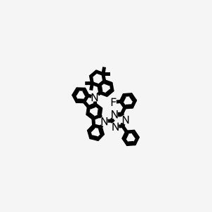 CC1(C)CCC(C)(C)c2c(-n3c4ccccc4c4cc5c6ccccc6n(-c6nc(-c7ccccc7)nc(-c7ccccc7F)n6)c5cc43)cccc21